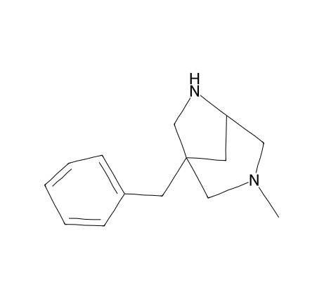 CN1CC2CC(Cc3ccccc3)(CN2)C1